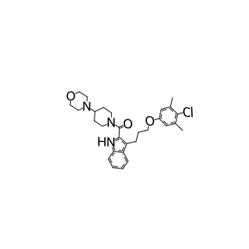 Cc1cc(OCCCc2c(C(=O)N3CCC(N4CCOCC4)CC3)[nH]c3ccccc23)cc(C)c1Cl